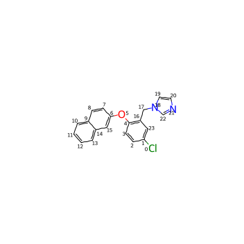 Clc1ccc(Oc2ccc3ccccc3c2)c(Cn2ccnc2)c1